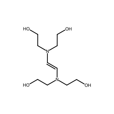 OCCN(C=CN(CCO)CCO)CCO